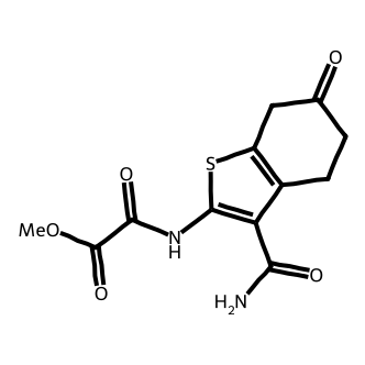 COC(=O)C(=O)Nc1sc2c(c1C(N)=O)CCC(=O)C2